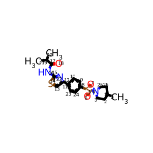 CC1CCN(S(=O)(=O)c2ccc(-c3csc(NC(=O)C(C)C)n3)cc2)CC1